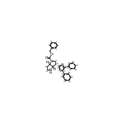 O=C(OCc1ccccc1)N1C[C@H](c2nc(-c3ccccc3)c(-c3ccccc3)s2)[C@H]2NCC[C@H]21